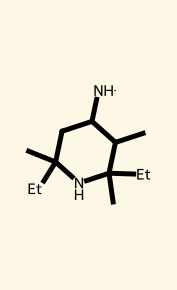 CCC1(C)CC([NH])C(C)C(C)(CC)N1